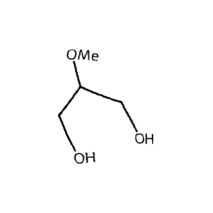 COC(CO)CO